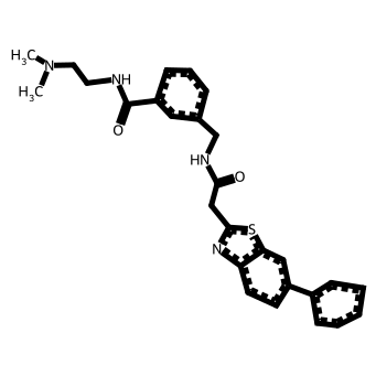 CN(C)CCNC(=O)c1cccc(CNC(=O)Cc2nc3ccc(-c4ccccc4)cc3s2)c1